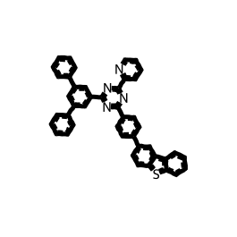 c1ccc(-c2cc(-c3ccccc3)cc(-c3nc(-c4ccc(-c5ccc6sc7ccccc7c6c5)cc4)nc(-c4ccccn4)n3)c2)cc1